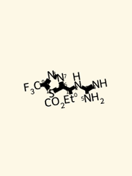 CCOC(=O)C(NC(=N)N)c1nnc(C(F)(F)F)s1